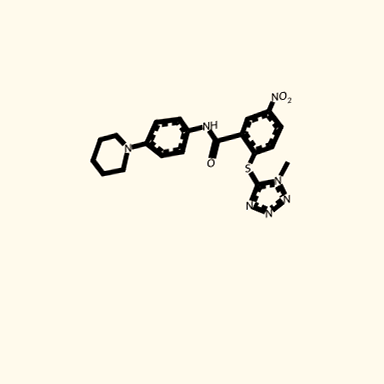 Cn1nnnc1Sc1ccc([N+](=O)[O-])cc1C(=O)Nc1ccc(N2CCCCC2)cc1